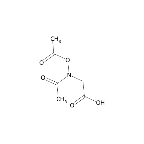 CC(=O)ON(CC(=O)O)C(C)=O